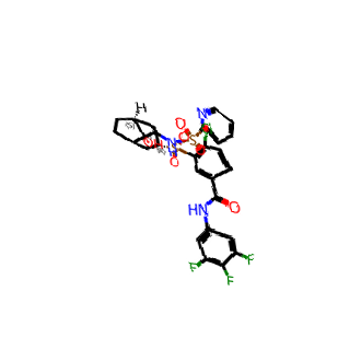 O=C(Nc1cc(F)c(F)c(F)c1)c1ccc(Cl)c(S(=O)(=O)[C@@H]2CC3CC[C@@H](C2)[C@@]3(O)CNS(=O)(=O)c2ccccn2)c1